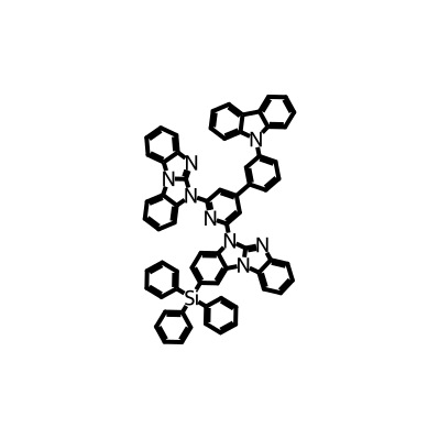 c1ccc([Si](c2ccccc2)(c2ccccc2)c2ccc3c(c2)n2c4ccccc4nc2n3-c2cc(-c3cccc(-n4c5ccccc5c5ccccc54)c3)cc(-n3c4ccccc4n4c5ccccc5nc34)n2)cc1